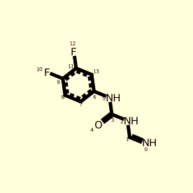 N=CNC(=O)Nc1ccc(F)c(F)c1